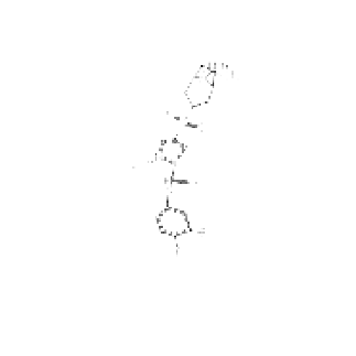 C[C@H]1CC2CC(S(=O)(=O)c3cc(C(=O)Nc4ccc(F)c(F)c4)n(C)c3)CC1[C@]2(C)O